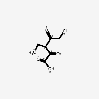 CCC(=O)C(CC)C(=O)C(=O)O